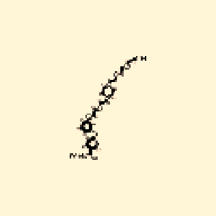 C#CCOCCOCCN1CCN(CCOCCOc2cccc(Oc3ccc(C(=O)OC)cn3)c2)CC1